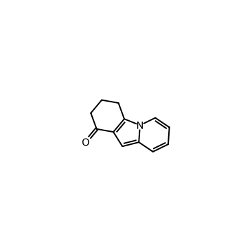 O=C1CCCc2c1cc1ccccn21